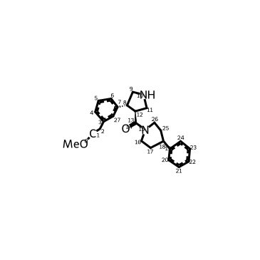 COCCc1cccc([C@@H]2CNC[C@H]2C(=O)N2CCC(c3ccccc3)CC2)c1